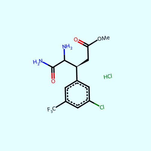 COC(=O)C[C@@H](c1cc(Cl)cc(C(F)(F)F)c1)C(N)C(N)=O.Cl